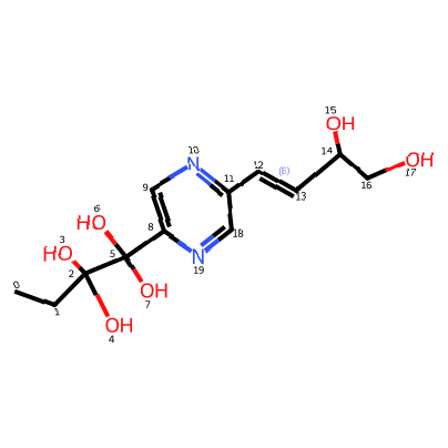 CCC(O)(O)C(O)(O)c1cnc(/C=C/C(O)CO)cn1